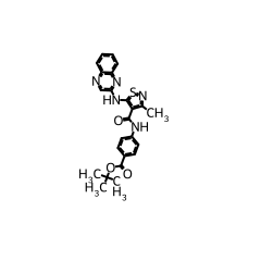 Cc1nsc(Nc2cnc3ccccc3n2)c1C(=O)Nc1ccc(C(=O)OC(C)(C)C)cc1